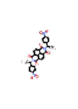 CC(c1ccc([N+](=O)[O-])cc1)N1C(=O)c2ccc3c4c(ccc(c24)C1=O)C(=O)N(C(C)c1ccc([N+](=O)[O-])cc1)C3=O